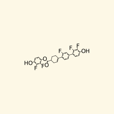 O=C(Oc1ccc(O)c(F)c1F)C1CC=C(c2ccc(-c3ccc(O)c(F)c3F)cc2F)CC1